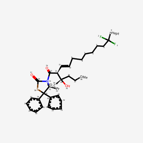 CCCCCCCC(F)(F)CCCCCCC=C[C@H](C(=O)N1C(=O)SC(c2ccccc2)(c2ccccc2)[C@@H]1C(C)C)[C@@](O)(CCOC)C(=O)O